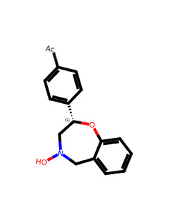 CC(=O)c1ccc([C@H]2CN(O)Cc3ccccc3O2)cc1